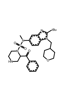 CN(c1ccc2c(c1)nc(C(C)(C)C)n2CC1CCOCC1)S(=O)(=O)N1CCNCC1C(=O)c1ccccc1